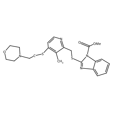 COC(=O)n1c(SCc2nccc(SCCN3CCOCC3)c2C)nc2ccccc21